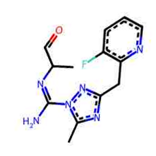 Cc1nc(Cc2ncccc2F)nn1/C(N)=N\C(C)C=O